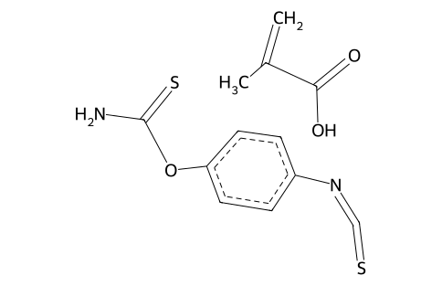 C=C(C)C(=O)O.NC(=S)Oc1ccc(N=C=S)cc1